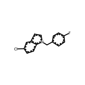 Fc1ccc(Cn2c[c]c3cc(Cl)ccc32)cc1